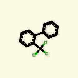 Cl[Si](Cl)(Cl)c1ccccc1-c1ccccc1